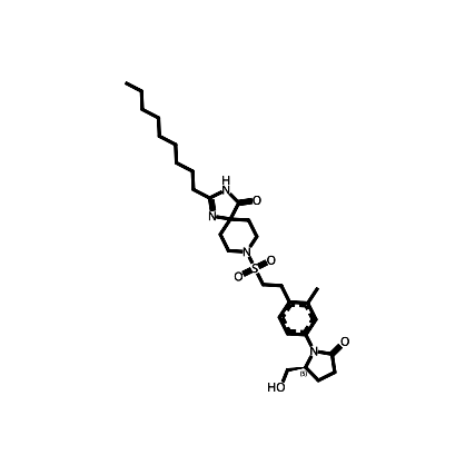 CCCCCCCCCC1=NC2(CCN(S(=O)(=O)CCc3ccc(N4C(=O)CC[C@H]4CO)cc3C)CC2)C(=O)N1